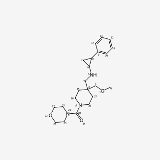 COCC1(CNC2CC2c2ccccc2)CCN(C(=O)N2CCOCC2)CC1